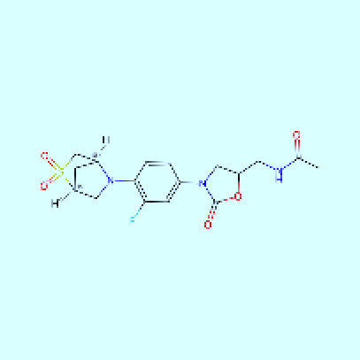 CC(=O)NCC1CN(c2ccc(N3C[C@@H]4C[C@H]3CS4(=O)=O)c(F)c2)C(=O)O1